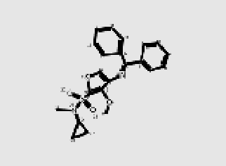 COc1c(N=C(c2ccccc2)c2ccccc2)csc1S(=O)(=O)N(C)C1CC1